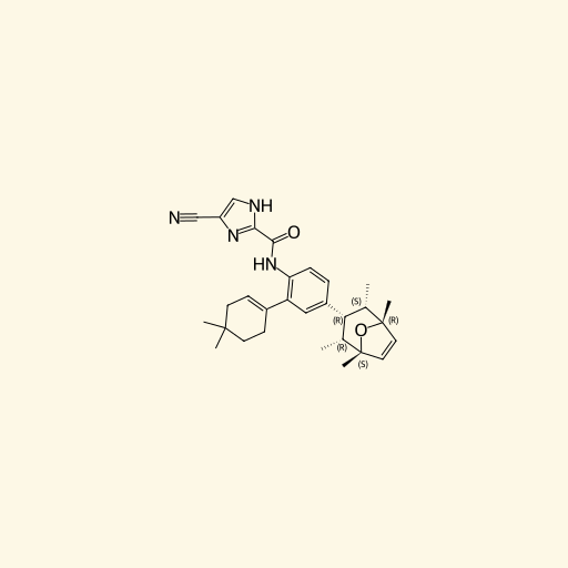 C[C@@H]1[C@H](c2ccc(NC(=O)c3nc(C#N)c[nH]3)c(C3=CCC(C)(C)CC3)c2)[C@H](C)[C@]2(C)C=C[C@@]1(C)O2